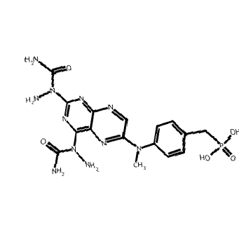 CN(c1ccc(CP(=O)(O)O)cc1)c1cnc2nc(N(N)C(N)=O)nc(N(N)C(N)=O)c2n1